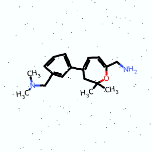 CN(C)Cc1cccc(C2=CC=C(CN)OC(C)(C)C2)c1